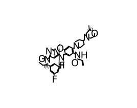 C=CC(=O)Nc1cc(Nc2cc(N3OCC[C@@H]3c3cc(F)cc(F)c3)ncn2)c(OC)cc1N1CCC(N2CCO[C@H](C)C2)CC1